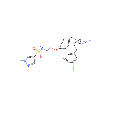 CN1C2C1C21Cc2ccc(OCCNS(=O)(=O)c3cnn(C)c3)cc2C1Cc1cccc(F)c1